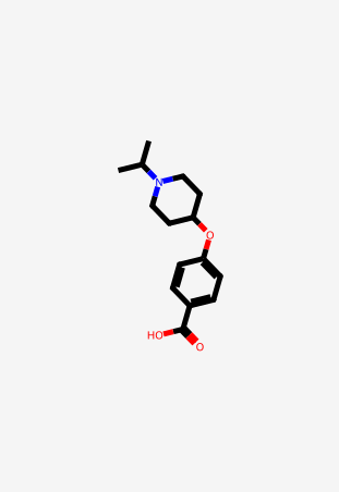 CC(C)N1CCC(Oc2ccc(C(=O)O)cc2)CC1